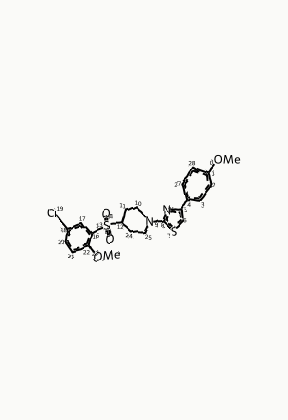 COc1ccc(-c2csc(N3CCC(S(=O)(=O)c4cc(Cl)ccc4OC)CC3)n2)cc1